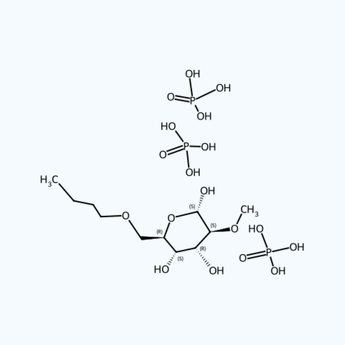 CCCCOC[C@H]1O[C@H](O)[C@@H](OC)[C@H](O)[C@@H]1O.O=P(O)(O)O.O=P(O)(O)O.O=P(O)(O)O